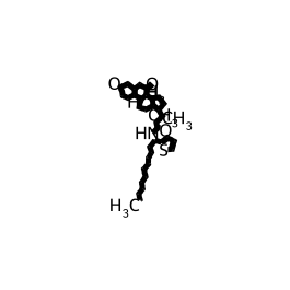 CCCCCCCCCCCC(NC(=O)C[C@@H](C)C1CC[C@H]2C3C(=O)CC4CC(=O)CCC4(C)[C@H]3CCC12C)c1cccs1